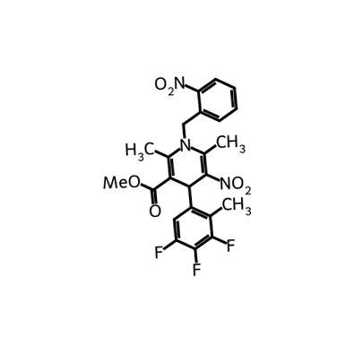 COC(=O)C1=C(C)N(Cc2ccccc2[N+](=O)[O-])C(C)=C([N+](=O)[O-])C1c1cc(F)c(F)c(F)c1C